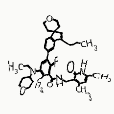 CCCC1CC2(CCOCC2)c2ccc(-c3cc(N(CC)C4CCOCC4)c(C)c(C(=O)NCc4c(C)cc(C)[nH]c4=O)c3F)cc21